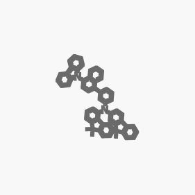 CC1(C)c2ccccc2-c2ccc(N(c3cccc(-c4ccc(-n5c6ccccc6c6ccccc65)c5ccccc45)c3)c3cccc4c3-c3ccccc3C4(C)C)cc21